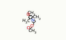 COc1cc(C)c(N2CCC(COCC(C)=O)C2)c(C)c1